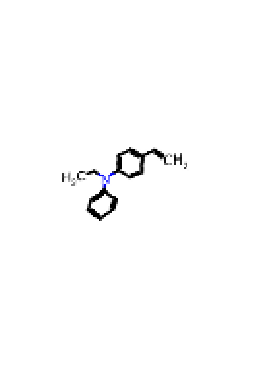 C=Cc1ccc(N(CC)c2ccccc2)cc1